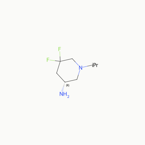 CC(C)N1C[C@H](N)CC(F)(F)C1